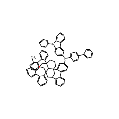 Cc1ccccc1-c1ccccc1C12CCCC34CC(CC5(CC(C1)c1ccccc1-c1ccccc15)C23)c1ccccc1-c1ccc(N(c2ccc(-c3ccccc3)cc2)c2ccc3c(c2)c2ccccc2n3-c2ccccc2)cc14